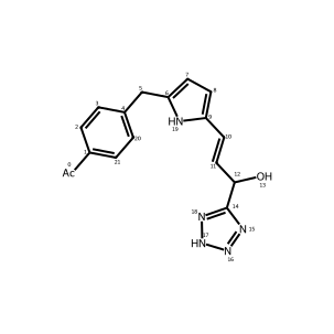 CC(=O)c1ccc(Cc2ccc(C=CC(O)c3nn[nH]n3)[nH]2)cc1